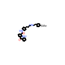 CSc1ccc(CCNCCCCc2ccc(NC(=O)c3cccc4c(=O)c5ccccc5[nH]c34)cc2)cc1